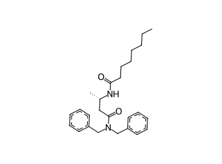 CCCCCCCC(=O)N[C@@H](C)CC(=O)N(Cc1ccccc1)Cc1ccccc1